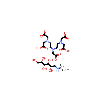 CNC[C@H](O)[C@@H](O)[C@H](O)[C@H](O)CO.O=C([O-])CN(CCN(CC(=O)[O-])CC(=O)O)CCN(CC(=O)[O-])CC(=O)O.[Gd+3]